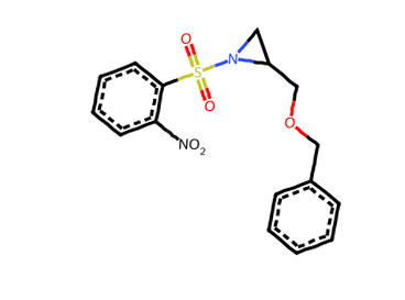 O=[N+]([O-])c1ccccc1S(=O)(=O)N1CC1COCc1ccccc1